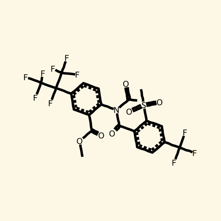 COC(=O)c1cc(C(F)(C(F)(F)F)C(F)(F)F)ccc1N(C(C)=O)C(=O)c1ccc(C(F)(F)F)cc1S(C)(=O)=O